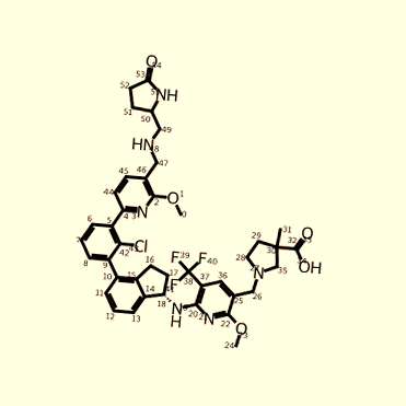 COc1nc(-c2cccc(-c3cccc4c3CC[C@@H]4Nc3nc(OC)c(CN4CCC(C)(C(=O)O)C4)cc3C(F)(F)F)c2Cl)ccc1CNCC1CCC(=O)N1